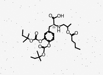 CCCCC(=O)OC(C)CN[C@@H](Cc1ccc(OC(=O)OC(C)(C)CC)c(OC(=O)OC(C)(C)CC)c1)C(=O)O